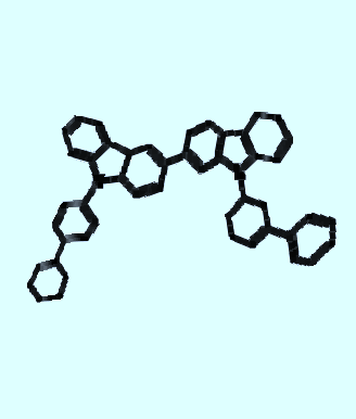 C1=Cc2c(c3ccc(C4=CC5c6ccccc6N(c6ccc(C7=CCCCC7)cc6)C5C=C4)cc3n2C2CCC=C(c3ccccc3)C2)CC1